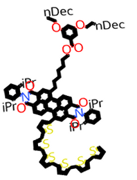 CCCCCCCCCCCCOc1cc(OCCCCCCCCCCCC)cc(C(=O)OCCCCCCCc2cc3c4c(ccc5c6c(-c7ccc(-c8ccc(-c9ccc(-c%10ccc(-c%11ccc(-c%12cccs%12)s%11)s%10)s9)s8)s7)cc7c8c(ccc(c2c45)c86)C(=O)N(c2c(C(C)C)cccc2C(C)C)C7=O)C(=O)N(c2c(C(C)C)cccc2C(C)C)C3=O)c1